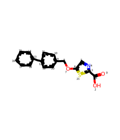 O=C(O)c1ncc(OCc2ccc(-c3ccccc3)cc2)s1